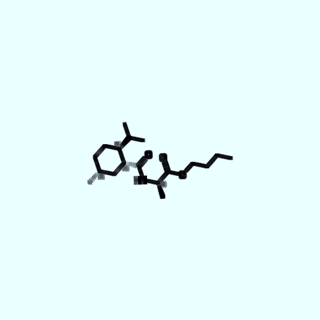 CCCCOC(=O)[C@@H](C)NC(=O)[C@@H]1C[C@H](C)CC[C@H]1C(C)C